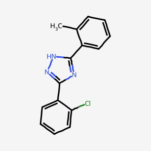 Cc1ccccc1-c1nc(-c2ccccc2Cl)n[nH]1